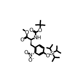 COC(=O)[C@H](Cc1ccc(O[Si](C(C)C)(C(C)C)C(C)C)cc1[N+](=O)[O-])NC(=O)OC(C)(C)C